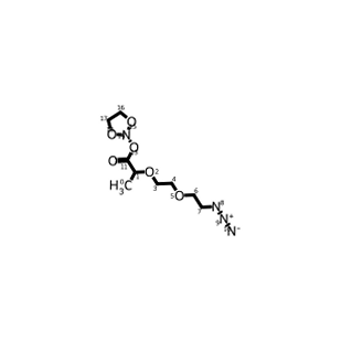 CC(OCCOCCN=[N+]=[N-])C(=O)ON1OCCO1